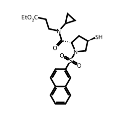 CCOC(=O)CCN(C(=O)[C@@H]1C[C@@H](S)CN1S(=O)(=O)c1ccc2ccccc2c1)C1CC1